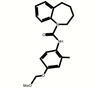 COCOc1ccc(NC(=O)N2CCCCc3ccccc32)c(C)c1